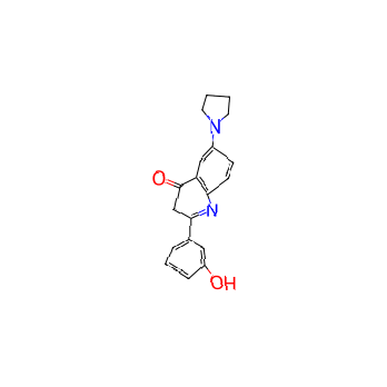 O=C1CC(c2cccc(O)c2)=Nc2ccc(N3CCCC3)cc21